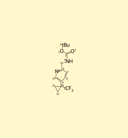 CC(C)(C)OC(=O)NCc1ccc(C2(C(F)(F)F)CC2)cn1